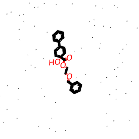 O=C(OCCOCc1ccccc1)C1(O)C=CC(c2ccccc2)=CC1